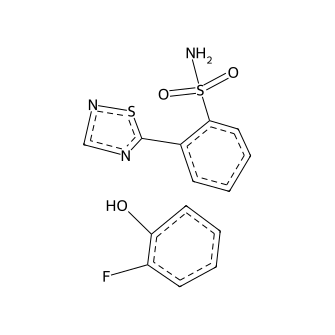 NS(=O)(=O)c1ccccc1-c1ncns1.Oc1ccccc1F